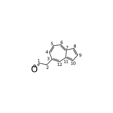 O=CCc1cccc2cccc-2c1